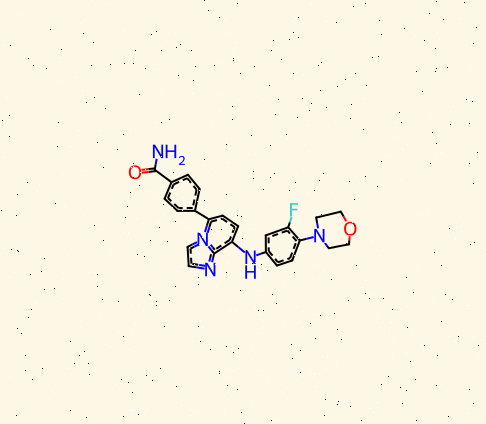 NC(=O)c1ccc(-c2ccc(Nc3ccc(N4CCOCC4)c(F)c3)c3nccn23)cc1